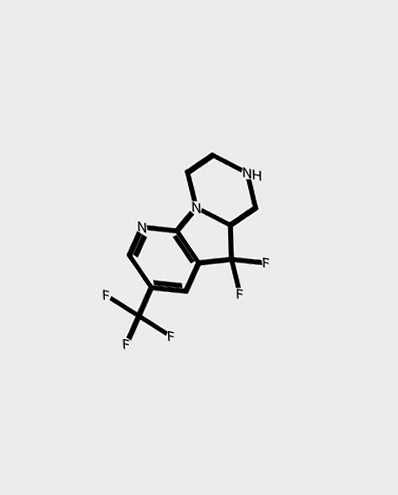 FC(F)(F)c1cnc2c(c1)C(F)(F)C1CNCCN21